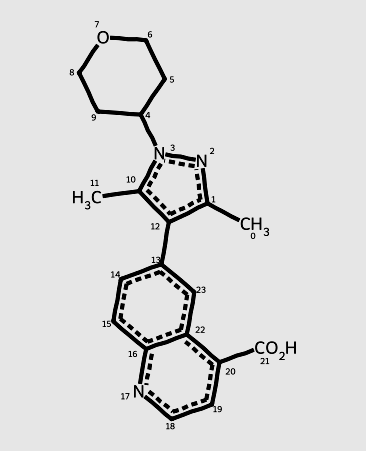 Cc1nn(C2CCOCC2)c(C)c1-c1ccc2nccc(C(=O)O)c2c1